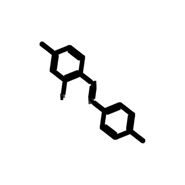 Cc1ccc(/N=N/c2ccc(C)cc2F)cc1